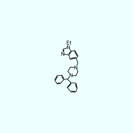 CCn1cnc2cc(CN3CCN(C(c4ccccc4)c4ccccc4)CC3)ccc21